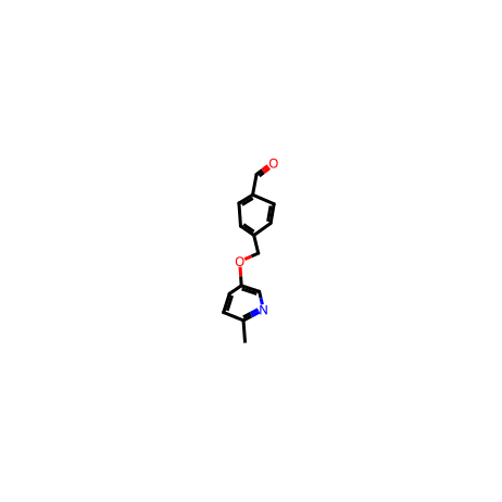 Cc1ccc(OCc2ccc(C=O)cc2)cn1